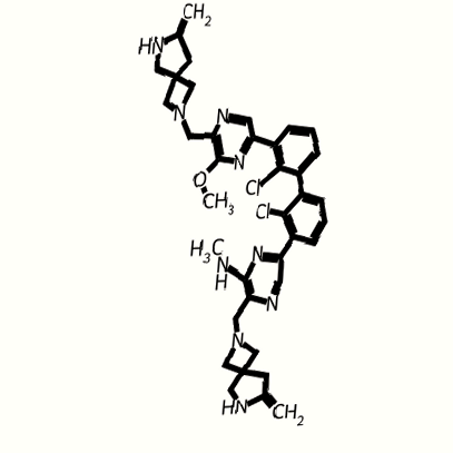 C=C1CC2(CN1)CN(Cc1ncc(-c3cccc(-c4cccc(-c5cnc(CN6CC7(CNC(=C)C7)C6)c(OC)n5)c4Cl)c3Cl)nc1NC)C2